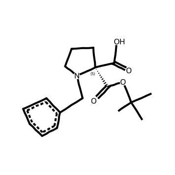 CC(C)(C)OC(=O)[C@@]1(C(=O)O)CCCN1Cc1ccccc1